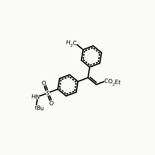 CCOC(=O)/C=C(/c1ccc(S(=O)(=O)NC(C)(C)C)cc1)c1cccc(C)c1